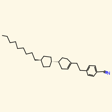 CCCCCCCCC[C@H]1CC[C@H](C2CC=C(CCc3ccc(C#N)cc3)CC2)CC1